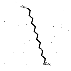 C[CH]CCCCCCCCCCCCCCCCCCCCCCCCCCCCCCC